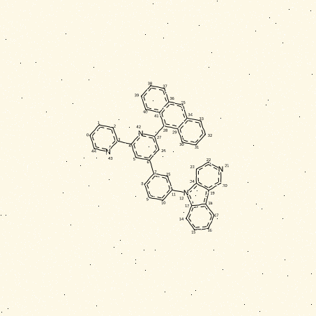 c1ccc(-c2cc(-c3cccc(-n4c5ccccc5c5cnccc54)c3)cc(-c3c4ccccc4cc4ccccc34)n2)nc1